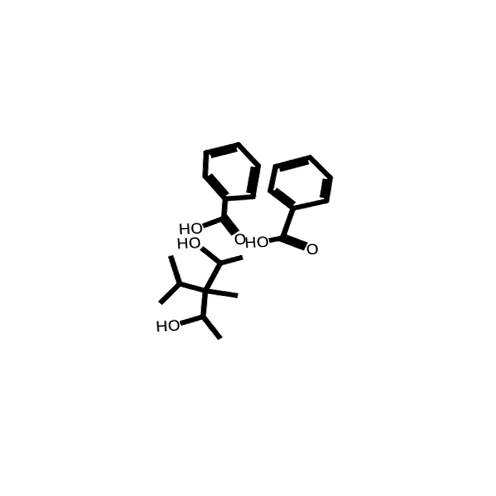 CC(C)C(C)(C(C)O)C(C)O.O=C(O)c1ccccc1.O=C(O)c1ccccc1